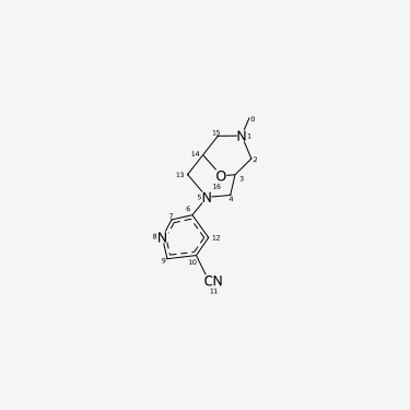 CN1CC2CN(c3cncc(C#N)c3)CC(C1)O2